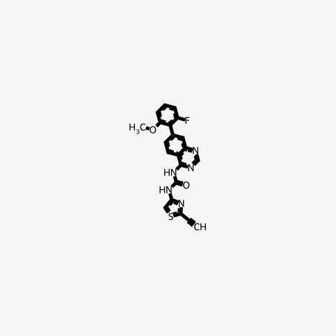 C#Cc1nc(NC(=O)Nc2ncnc3cc(-c4c(F)cccc4OC)ccc23)cs1